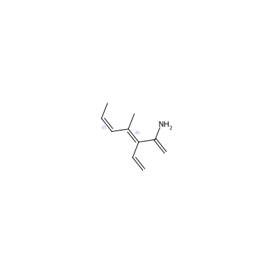 C=C/C(C(=C)N)=C(C)\C=C/C